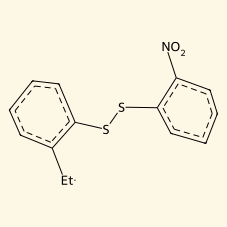 C[CH]c1ccccc1SSc1ccccc1[N+](=O)[O-]